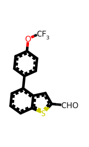 O=Cc1cc2c(-c3ccc(OC(F)(F)F)cc3)cccc2s1